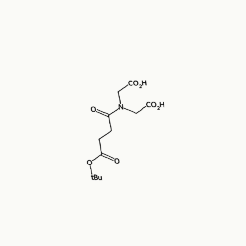 CC(C)(C)OC(=O)CCC(=O)N(CC(=O)O)CC(=O)O